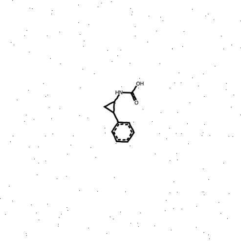 O=C(O)NC1CC1c1ccccc1